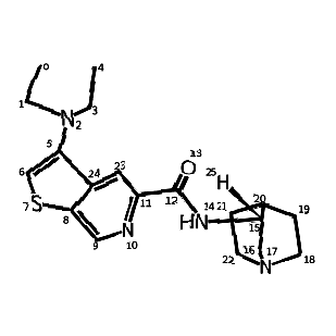 CCN(CC)c1csc2cnc(C(=O)N[C@H]3CN4CCC3CC4)cc12